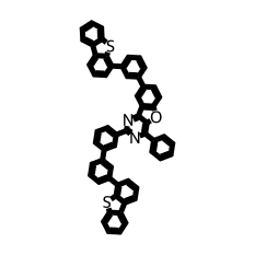 c1ccc(-c2nc(-c3cccc(-c4cccc(-c5cccc6c5sc5ccccc56)c4)c3)nc3c2oc2ccc(-c4cccc(-c5cccc6c5sc5ccccc56)c4)cc23)cc1